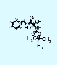 CC(C)(C)OC(=O)NC(C)(C)C(=O)OCN1C=CC=CC1